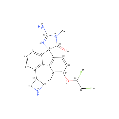 Cc1cc(C2(c3cccc(C4CNC4)c3)N=C(N)N(C)C2=O)ccc1OC(F)CF